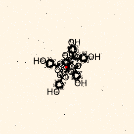 O=C(OC(COCC(OC(=O)c1ccc(O)cc1)(OC(=O)c1ccc(O)cc1)OC(=O)c1ccc(O)cc1)(OC(=O)c1ccc(O)cc1)OC(=O)c1ccc(O)cc1)c1ccc(O)cc1